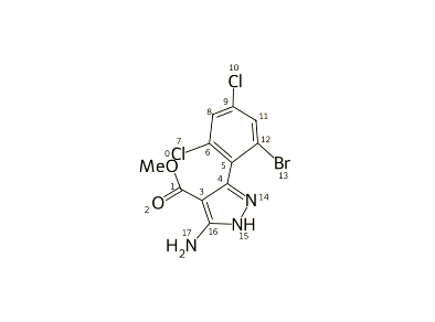 COC(=O)c1c(-c2c(Cl)cc(Cl)cc2Br)n[nH]c1N